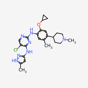 Cc1cc(Nc2nc(Nc3cc(C)c(C4CCN(C)CC4)cc3OC3CC3)ncc2Cl)n[nH]1